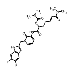 CN(C)C(=O)/C=C/CCC(OC(=O)N(C)C)C(=O)Nc1cccn(Cc2nc3cc(F)c(F)cc3[nH]2)c1=O